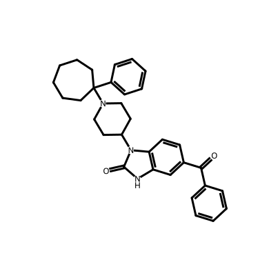 O=C(c1ccccc1)c1ccc2c(c1)[nH]c(=O)n2C1CCN(C2(c3ccccc3)CCCCCC2)CC1